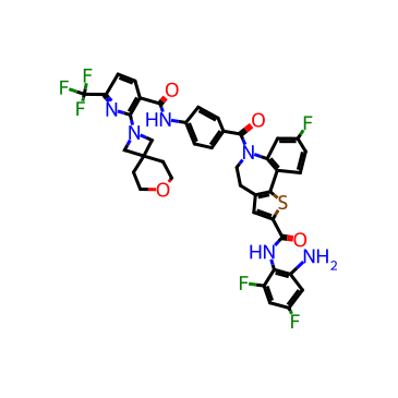 Nc1cc(F)cc(F)c1NC(=O)c1cc2c(s1)-c1ccc(F)cc1N(C(=O)c1ccc(NC(=O)c3ccc(C(F)(F)F)nc3N3CC4(CCOCC4)C3)cc1)CC2